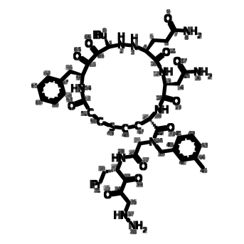 CC[C@H](C)C1NN[C@@H](CCC(N)=O)C(=O)N[C@@H](CC(N)=O)C(=O)N[C@H](C(=O)N(CC(=O)N[C@@H](CC(C)C)C(=O)C(=O)CNN)Cc2cccc(C)c2)CCSCCC(=O)N[C@@H](Cc2ccccc2)C(=O)C1=O